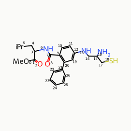 COC(=O)C(CC(C)C)NC(=O)c1ccc(NCC(N)CS)cc1-c1ccccc1